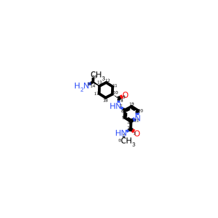 CNC(=O)c1cc(NC(=O)[C@H]2CC[C@H](C(C)N)CC2)ccn1